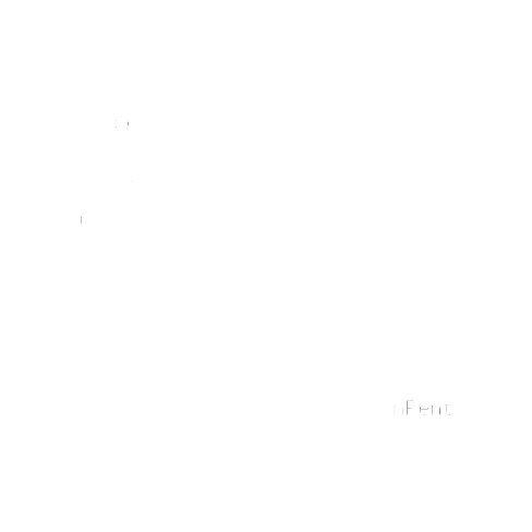 CCCCCCCCC/C=C/C(=O)Cl